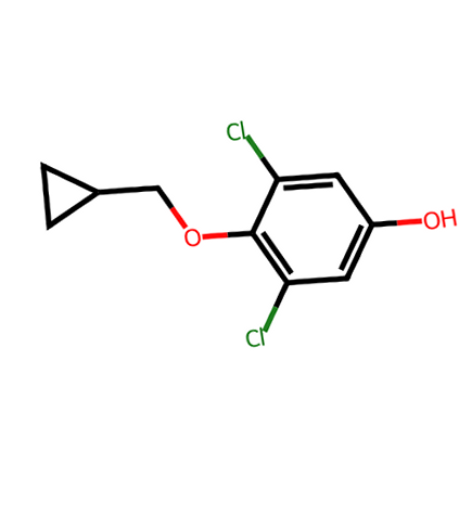 Oc1cc(Cl)c(OCC2CC2)c(Cl)c1